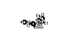 CCC(CC)N1C=CC(=O)N(CC)C2C=NC(Nc3ccc(C(=O)NC4CCN(C)CC4)cc3OC)=NC21